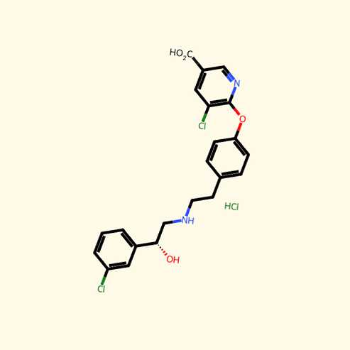 Cl.O=C(O)c1cnc(Oc2ccc(CCNC[C@H](O)c3cccc(Cl)c3)cc2)c(Cl)c1